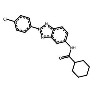 O=C(Nc1ccc2nn(-c3ccc(Cl)cc3)nc2c1)C1CCCCC1